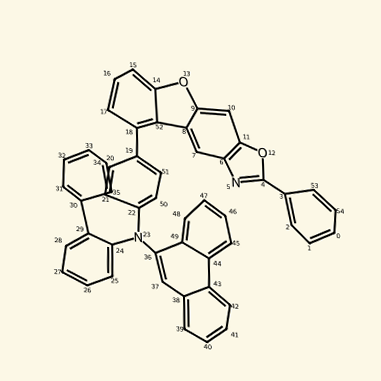 c1ccc(-c2nc3cc4c(cc3o2)oc2cccc(-c3ccc(N(c5ccccc5-c5ccccc5)c5cc6ccccc6c6ccccc56)cc3)c24)cc1